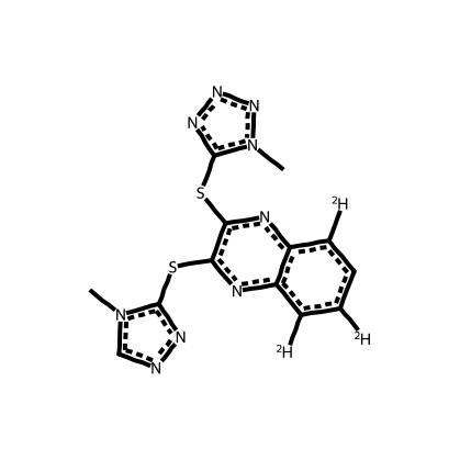 [2H]c1cc([2H])c2nc(Sc3nnnn3C)c(Sc3nncn3C)nc2c1[2H]